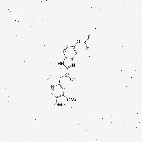 COc1cnc(C[S+]([O-])c2nc3cc(OC(F)F)ccc3[nH]2)cc1OC